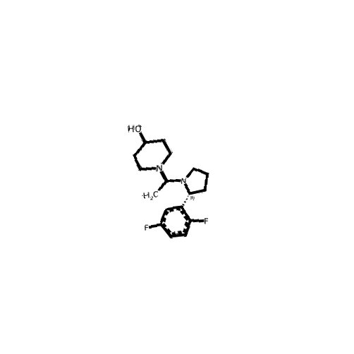 [CH2]C(N1CCC(O)CC1)N1CCC[C@@H]1c1cc(F)ccc1F